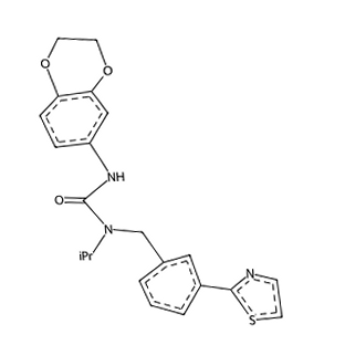 CC(C)N(Cc1cccc(-c2nccs2)c1)C(=O)Nc1ccc2c(c1)OCCO2